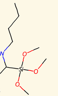 CCCCNC(CC)[Si](OC)(OC)OC